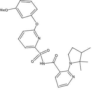 COc1cccc(Oc2cccc(S(=O)(=O)NC(=O)c3cccnc3N3CCC(C)C3(C)C)n2)c1